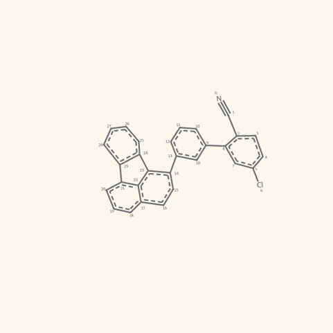 N#Cc1ccc(Cl)cc1-c1cccc(-c2ccc3cccc4c3c2-c2ccccc2-4)c1